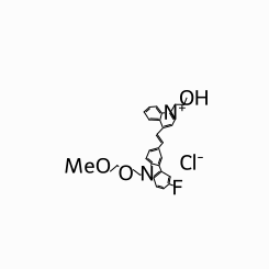 COCCOCCn1c2ccc(F)cc2c2cc(/C=C/c3cc[n+](CCO)c4ccccc34)ccc21.[Cl-]